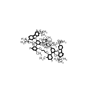 Cc1cc(F)cc(-c2cc(C(C)(C)CC(C)(C)C)cc(-n3c4cc([Si](C)(C)C)ccc4c4ccc([Si](C)(C)C)cc43)c2O)c1OCCCOc1c(C)cc(F)cc1-c1cc(C(C)(C)CC(C)(C)C)cc(-n2c3cc([Si](C)(C)C)ccc3c3ccc([Si](C)(C)C)cc32)c1O